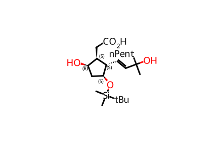 CCCCCC(C)(O)C=C[C@H]1[C@H](CC(=O)O)[C@H](O)C[C@@H]1O[Si](C)(C)C(C)(C)C